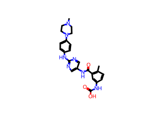 Cc1ccc(NC(=O)O)cc1C(=O)Nc1cnc(Nc2ccc(N3CCN(C)CC3)cc2)nc1